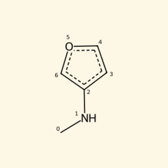 CNc1ccoc1